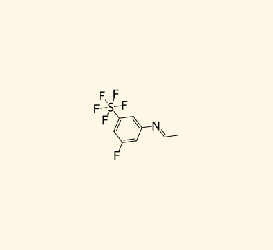 C/C=N/c1cc(F)cc(S(F)(F)(F)(F)F)c1